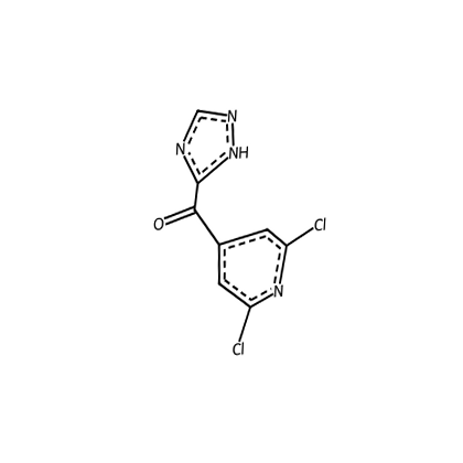 O=C(c1cc(Cl)nc(Cl)c1)c1ncn[nH]1